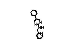 C1=CC(c2cnc(NCc3ccccn3)nc2)=CCC1